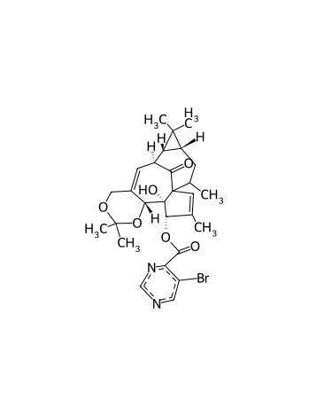 CC1=CC23C(=O)[C@@H](C=C4COC(C)(C)O[C@H]4[C@]2(O)[C@H]1OC(=O)c1ncncc1Br)[C@H]1[C@@H](CC3C)C1(C)C